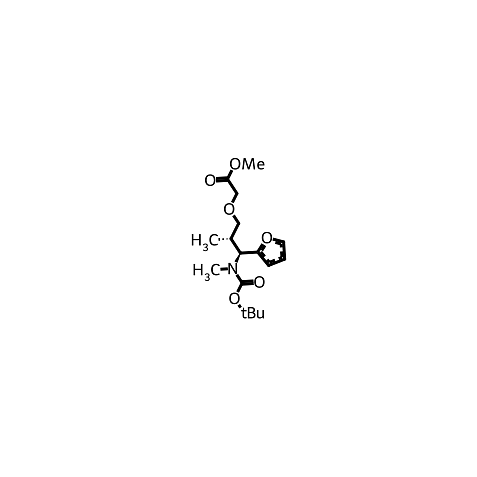 COC(=O)COC[C@@H](C)[C@@H](c1ccco1)N(C)C(=O)OC(C)(C)C